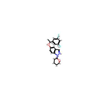 CC(Oc1ccc2c(cnn2C2CCCCO2)c1)c1cc(F)cc(F)c1